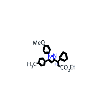 CCOC(=O)/C=C(\c1ccccc1)c1cc(-c2ccc(C)cc2)n(-c2ccc(OC)cc2)n1